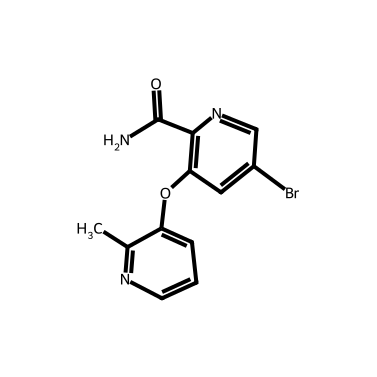 Cc1ncccc1Oc1cc(Br)cnc1C(N)=O